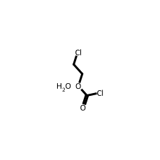 O.O=C(Cl)OCCCl